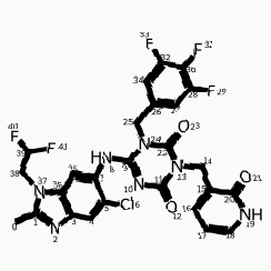 Cc1nc2cc(Cl)c(Nc3nc(=O)n(Cc4ccc[nH]c4=O)c(=O)n3Cc3cc(F)c(F)c(F)c3)cc2n1CC(F)F